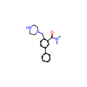 CN(C)C(=O)c1cc(-c2ccccc2)ccc1CN1CCNCC1